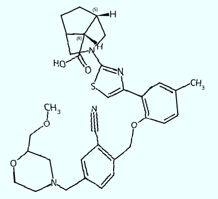 COCC1CN(Cc2ccc(COc3ccc(C)cc3-c3csc(N4CC5CC[C@H](C4)[C@@H]5C(=O)O)n3)c(C#N)c2)CCO1